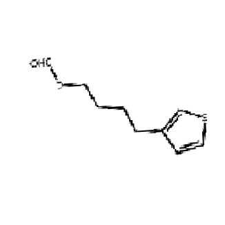 O=[C]OCCCCc1ccsc1